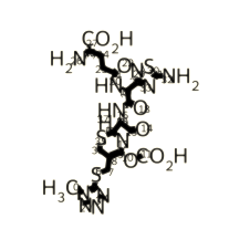 Cn1nnnc1SCC1=C(OC(=O)O)N2C(=O)[C@@H](NC(=O)[C@@H](NC(=O)CC[C@@H](N)C(=O)O)c3nsc(N)n3)[C@@H]2SC1